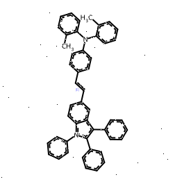 Cc1ccccc1N(c1ccc(/C=C/c2ccc3c(c2)c(-c2ccccc2)c(-c2ccccc2)n3-c2ccccc2)cc1)c1ccccc1C